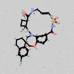 O=C1NS(=O)(=O)C/C=C/CNC(=O)[C@@H]2CC[C@H]2CN2C[C@@]3(CCCc4cc(Cl)ccc43)COc3ccc1cc32